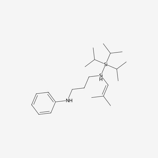 CC(C)=C[SiH](CCCNc1ccccc1)[Si](C(C)C)(C(C)C)C(C)C